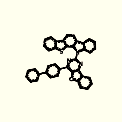 c1ccc(-c2ccc(-c3nc(-n4c5ccccc5c5ccc6c7ccccc7sc6c54)nc4c3oc3ccccc34)cc2)cc1